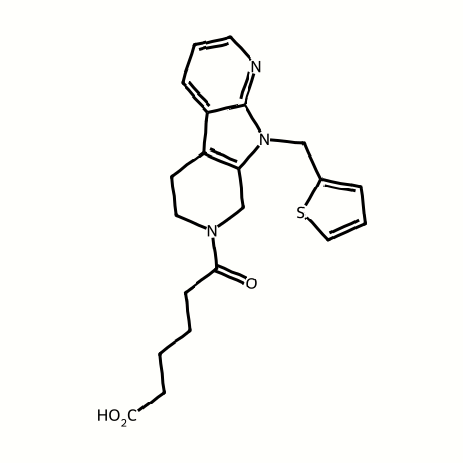 O=C(O)CCCCC(=O)N1CCc2c(n(Cc3cccs3)c3ncccc23)C1